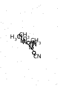 Cc1nnc2n1-c1ccc(N3CCN(CCN(C)C)C3=O)cc1Cn1cc(-c3ccc(C#N)cc3)cc1-2